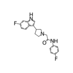 O=C(CN1CCC(c2c[nH]c3cc(F)ccc23)C1)Nc1ccc(F)cc1